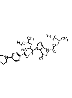 CC(C)COC(=O)N1CC(=O)C2C1=CCN2C(=O)C(CC(C)C)NC(=O)c1ccc(N2CCOCC2)cc1